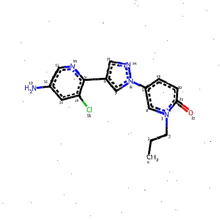 CCCn1cc(-n2cc(-c3ncc(N)cc3Cl)cn2)ccc1=O